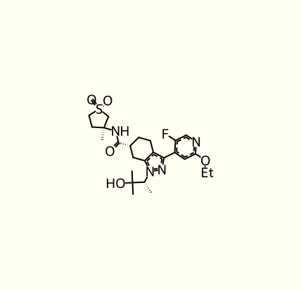 CCOc1cc(-c2nn([C@H](C)C(C)(C)O)c3c2CC[C@@H](C(=O)N[C@@]2(C)CCS(=O)(=O)C2)C3)c(F)cn1